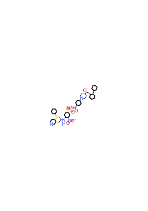 COC1(Cc2ccccc2-c2ccccc2)CCN(c2ccc(C(=O)NS(=O)(=O)c3ccc(N[C@H](CSc4ccccc4)Cc4cccnc4)c([N+](=O)[O-])c3)cc2)CC1